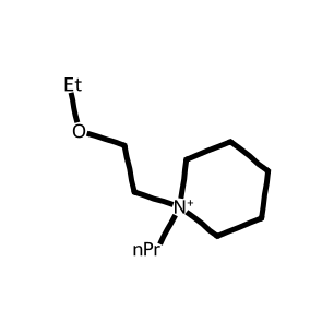 CCC[N+]1(CCOCC)CCCCC1